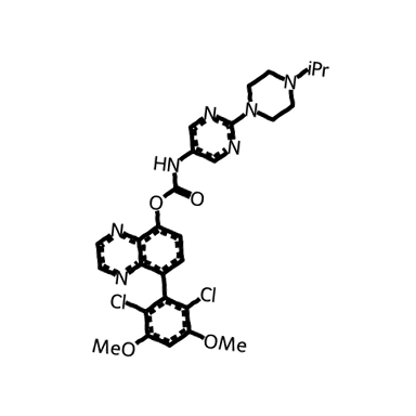 COc1cc(OC)c(Cl)c(-c2ccc(OC(=O)Nc3cnc(N4CCN(C(C)C)CC4)nc3)c3nccnc23)c1Cl